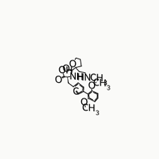 CNCCC1(C(=O)N[C@@H](Cc2ccc(-c3c(OC)cccc3OC)cc2)C(=O)O)CCCO1